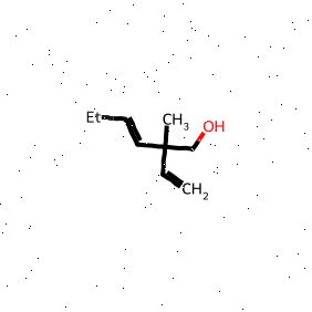 C=CC(C)(C=CCC)CO